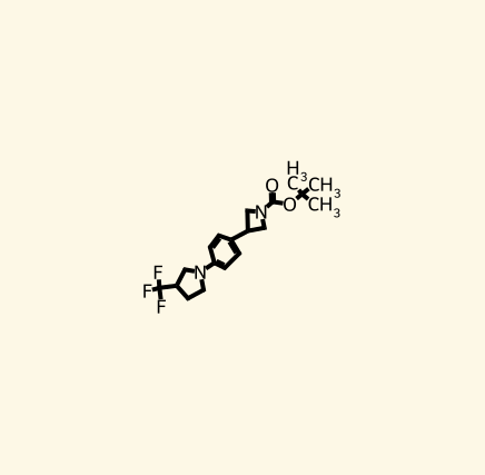 CC(C)(C)OC(=O)N1CC(c2ccc(N3CCC(C(F)(F)F)C3)cc2)C1